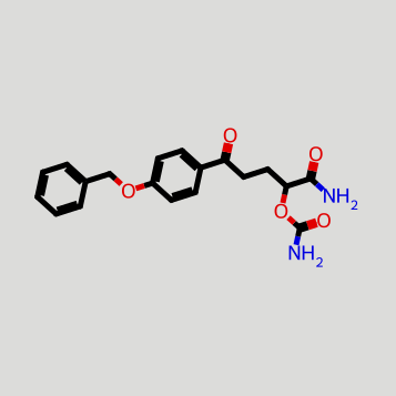 NC(=O)OC(CCC(=O)c1ccc(OCc2ccccc2)cc1)C(N)=O